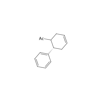 CC(=O)C1CC=CC[C@@H]1c1ccccc1